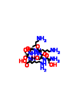 NCCCC[C@H](NC(=O)[C@H](CO)NC(=O)[C@H](CCCCN)NC(=O)[C@H](CCCCN)NC(=O)[C@H](CO)NC(=O)[C@@H](N)CO)C(=O)O